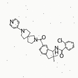 CC1(C)Cc2ccc(C(=O)N3CCC4(CCN(c5ccncc5)CC4)C3)cc2C1NC(=O)c1ccccc1Cl